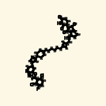 CC(Oc1cc(-c2cnn(C3CCN(CCCCCCN4CC(CNc5cccc6c5C(=O)N(C5CCC(=O)NC5=O)C6=O)C4)CC3)c2)cnc1N)c1c(Cl)ccc(F)c1Cl